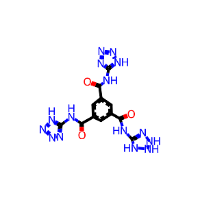 O=C(NC1=NNNN1)c1cc(C(=O)Nc2nnn[nH]2)cc(C(=O)Nc2nnn[nH]2)c1